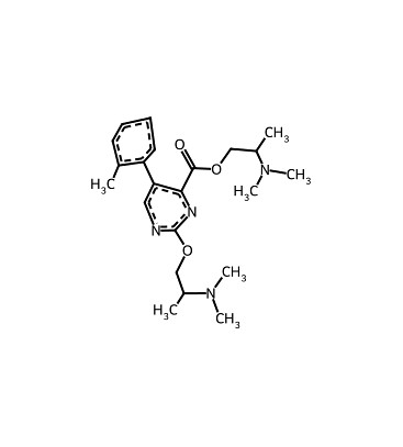 Cc1ccccc1-c1cnc(OCC(C)N(C)C)nc1C(=O)OCC(C)N(C)C